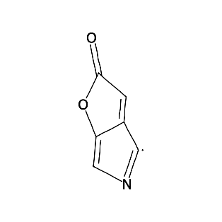 O=C1C=C2[C]=NC=C2O1